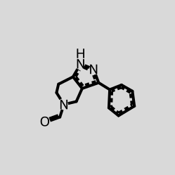 O=CN1CCc2[nH]nc(-c3ccccc3)c2C1